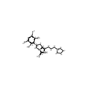 Fc1cc(F)c(F)c([C@H]2Cc3c(CCCN4CCCC4)[nH]c(=S)n3C2)c1F